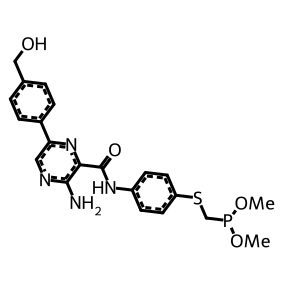 COP(CSc1ccc(NC(=O)c2nc(-c3ccc(CO)cc3)cnc2N)cc1)OC